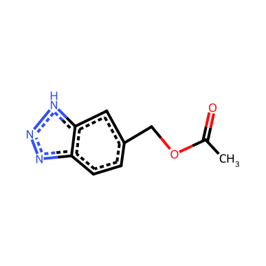 CC(=O)OCc1ccc2nn[nH]c2c1